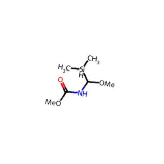 COC(=O)NC(OC)[SiH](C)C